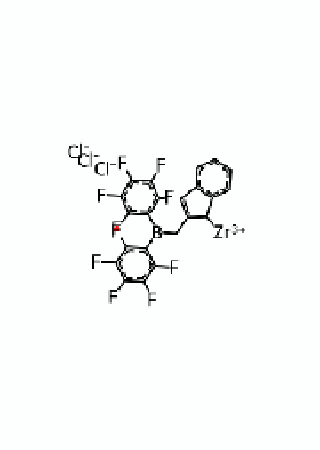 Fc1c(F)c(F)c(B(CC2=Cc3ccccc3[CH]2[Zr+3])c2c(F)c(F)c(F)c(F)c2F)c(F)c1F.[Cl-].[Cl-].[Cl-]